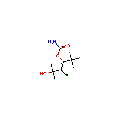 CC(C)(O)C(F)[C@H](OC(N)=O)C(C)(C)C